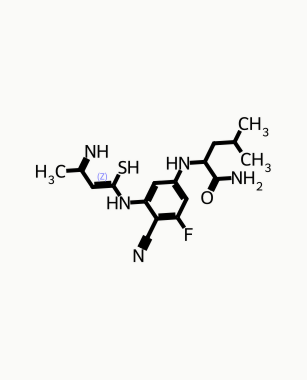 CC(=N)/C=C(\S)Nc1cc(NC(CC(C)C)C(N)=O)cc(F)c1C#N